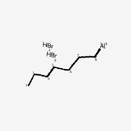 Br.Br.CCCCCC[CH2][Al]